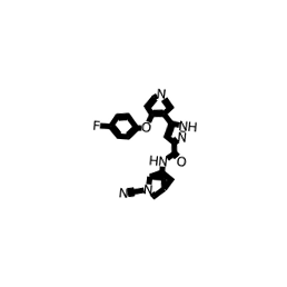 N#CN1CC2CC(NC(=O)c3cc(-c4cnccc4Oc4ccc(F)cc4)[nH]n3)C1C2